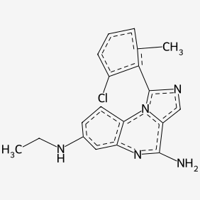 CCNc1ccc2c(c1)nc(N)c1cnc(-c3c(C)cccc3Cl)n12